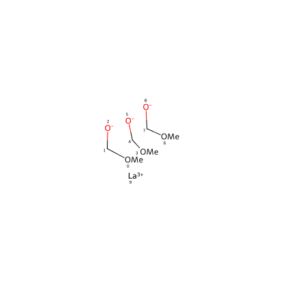 COC[O-].COC[O-].COC[O-].[La+3]